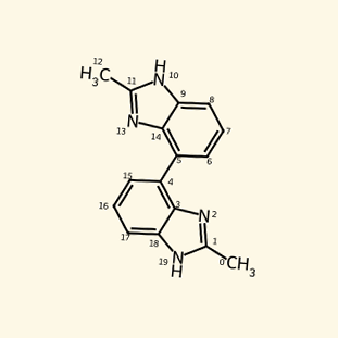 Cc1nc2c(-c3cccc4[nH]c(C)nc34)cccc2[nH]1